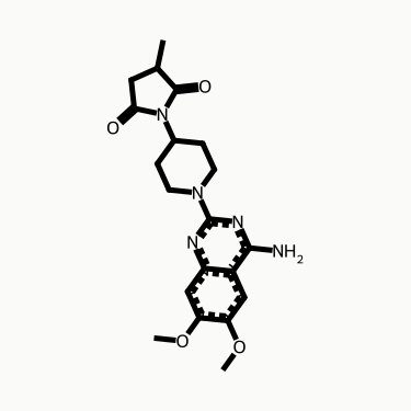 COc1cc2nc(N3CCC(N4C(=O)CC(C)C4=O)CC3)nc(N)c2cc1OC